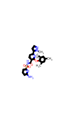 Cc1cc(C)c(Oc2nc(-c3ccnn3C)ccc2C(=O)NS(=O)(=O)c2cccc(N)n2)c(C)c1